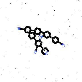 N#Cc1ccc(-c2ccc3c4ccc(-c5ccc(C#N)cc5)cc4n(-c4cc(-c5ccncc5)c(C#N)cc4-c4ccccc4)c3c2)cc1